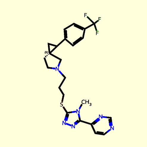 Cn1c(SCCCN2CC[C@@]3(CC3c3ccc(C(F)(F)F)cc3)C2)nnc1-c1ccncn1